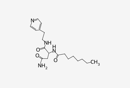 CCCCCCCC(=O)NC(CC(N)=O)C(=O)NCCc1ccncc1